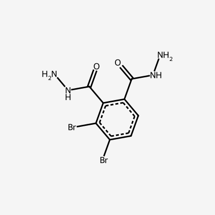 NNC(=O)c1ccc(Br)c(Br)c1C(=O)NN